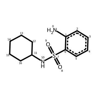 Nc1ccccc1S(=O)(=O)NC1CCCCC1